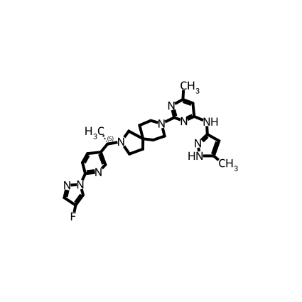 Cc1cc(Nc2cc(C)[nH]n2)nc(N2CCC3(CC2)CCN([C@@H](C)c2ccc(-n4cc(F)cn4)nc2)C3)n1